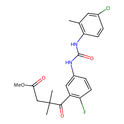 COC(=O)CC(C)(C)C(=O)c1cc(NC(=O)Nc2ccc(Cl)cc2C)ccc1F